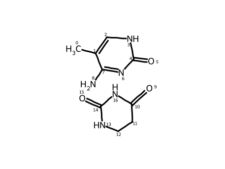 Cc1c[nH]c(=O)nc1N.O=C1CCNC(=O)N1